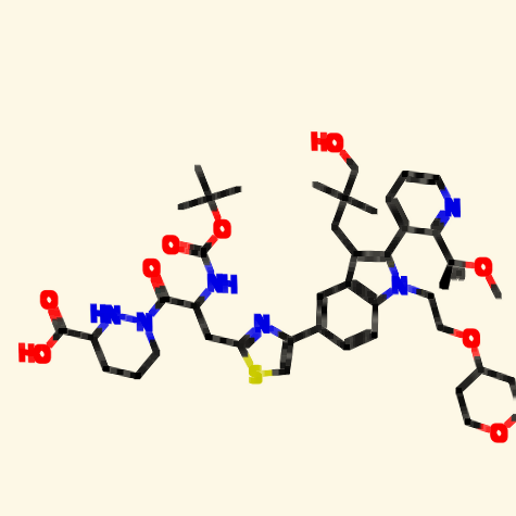 CO[C@@H](C)c1ncccc1-c1c(CC(C)(C)CO)c2cc(-c3csc(CC(NC(=O)OC(C)(C)C)C(=O)N4CCCC(C(=O)O)N4)n3)ccc2n1CCOC1CCOCC1